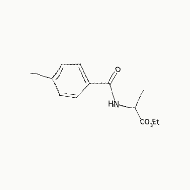 CCOC(=O)C(C)NC(=O)c1ccc(C)cc1